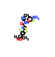 Cn1ncc(NC(=O)c2csc(-c3c(F)cc(C(C)(C)O)cc3F)n2)c1[C@@H]1CC[C@@H](N)[C@H](F)CO1